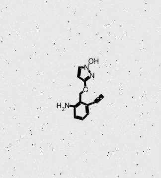 C#Cc1cccc(N)c1COc1ccn(O)n1